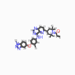 C=CC(=O)N1C(C)(C)CC(c2ccc3ncnc(Nc4ccc(Oc5ccc6c(c5)nnn6C)c(C)c4)c3n2)CC1(C)C